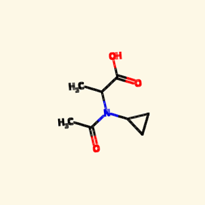 CC(=O)N(C1CC1)C(C)C(=O)O